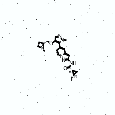 CN1CC[C@@H]1COc1cnn(C)c1-c1ccn2nc(NC(=O)[C@@H]3C[C@@H]3F)cc2c1